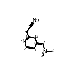 CN(C)C=C1C=CN=C(CC#N)C1